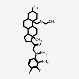 CCOCC12CC[C@H](C)CC1CCC1C3CCC(C(=O)CN(N)c4ccc(F)c(F)c4N)C3(C)CCC12